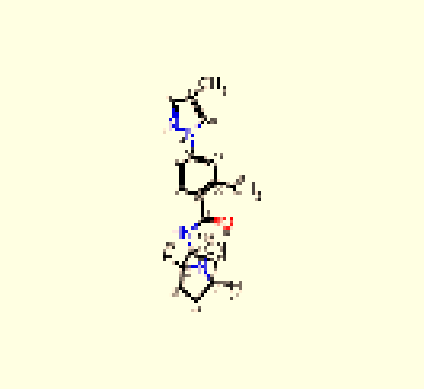 Cc1cnn(-c2ccc(C(=O)N[C@@H]3C[C@@H]4CC[C@H]3N4C#N)c(C)c2)c1